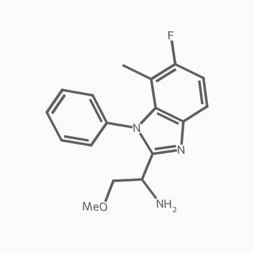 COCC(N)c1nc2ccc(F)c(C)c2n1-c1ccccc1